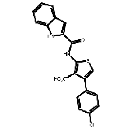 O=C(Nc1scc(-c2ccc(Cl)cc2)c1C(=O)O)c1cc2ccccc2[nH]1